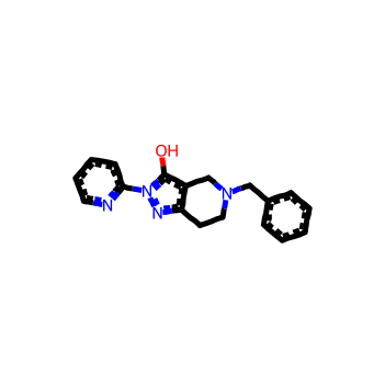 Oc1c2c(nn1-c1ccccn1)CCN(Cc1ccccc1)C2